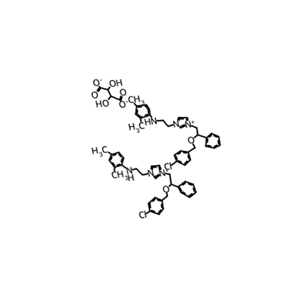 Cc1ccc(NCCn2cc[n+](CC(OCc3ccc(Cl)cc3)c3ccccc3)c2)c(C)c1.Cc1ccc(NCCn2cc[n+](CC(OCc3ccc(Cl)cc3)c3ccccc3)c2)c(C)c1.O=C([O-])C(O)C(O)C(=O)[O-]